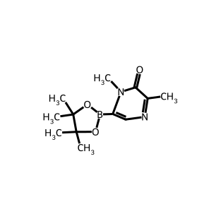 Cc1ncc(B2OC(C)(C)C(C)(C)O2)n(C)c1=O